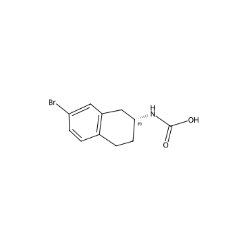 O=C(O)N[C@@H]1CCc2ccc(Br)cc2C1